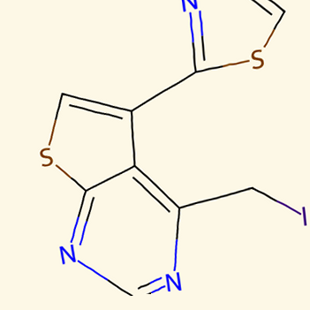 ICc1ncnc2scc(-c3nccs3)c12